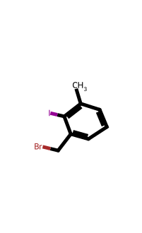 Cc1cccc(CBr)c1I